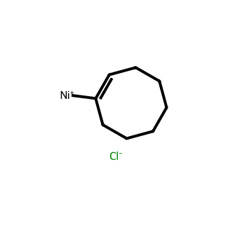 [Cl-].[Ni+]/[C]1=C/CCCCCC1